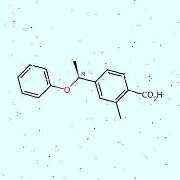 Cc1cc([C@H](C)Oc2ccccc2)ccc1C(=O)O